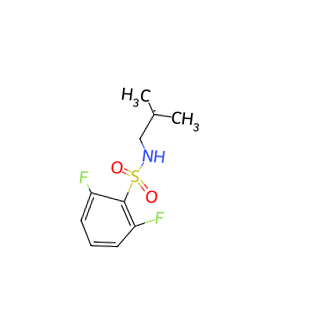 C[C](C)CNS(=O)(=O)c1c(F)cccc1F